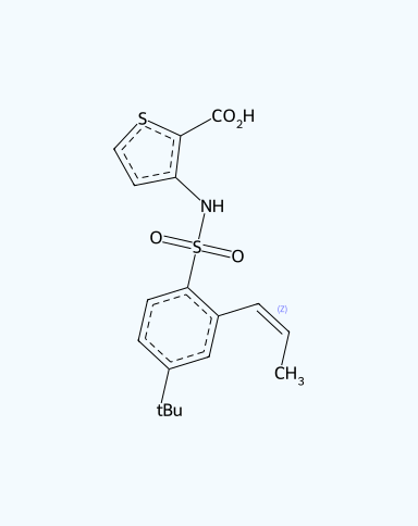 C/C=C\c1cc(C(C)(C)C)ccc1S(=O)(=O)Nc1ccsc1C(=O)O